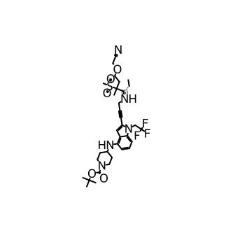 CC[C@H](NCC#Cc1cc2c(NC3CCN(C(=O)OC(C)(C)C)CC3)cccc2n1CC(F)(F)F)C(C)(CCOCC#N)S(C)(=O)=O